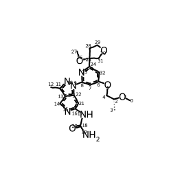 CO[C@H](C)COc1cc(-n2nc(C)c3cnc(NC(N)=O)cc32)nc([C@]2(OC)CCOC2)c1